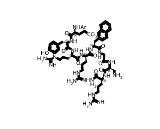 CC(=O)N[C@@H](CCC(=O)O)C(=O)N[C@@H](Cc1ccc(O)cc1)C(=O)N[C@@H](CCCNC(=N)N)C(=O)N[C@H](CCCNC(=N)N)C(=O)N[C@@H](Cc1ccc2ccccc2c1)C(=O)NCC(=O)N[C@@H](CN)C(=O)N[C@@H](CCCNC(=N)N)C(N)=O